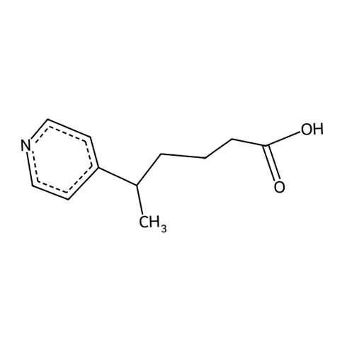 CC(CCCC(=O)O)c1ccncc1